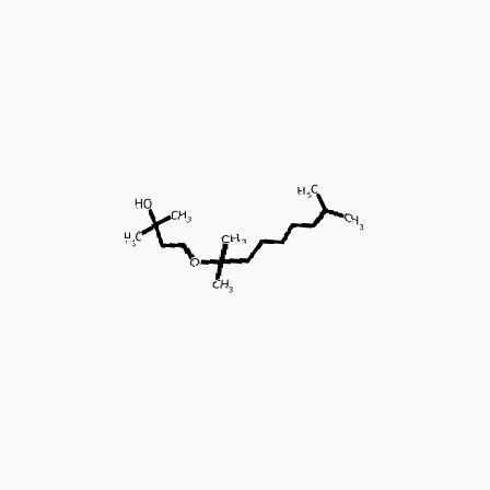 CC(C)CCCCCC(C)(C)OCCC(C)(C)O